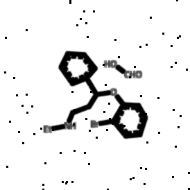 CCNCCC(Oc1ccccc1Br)c1ccccc1.O=CO